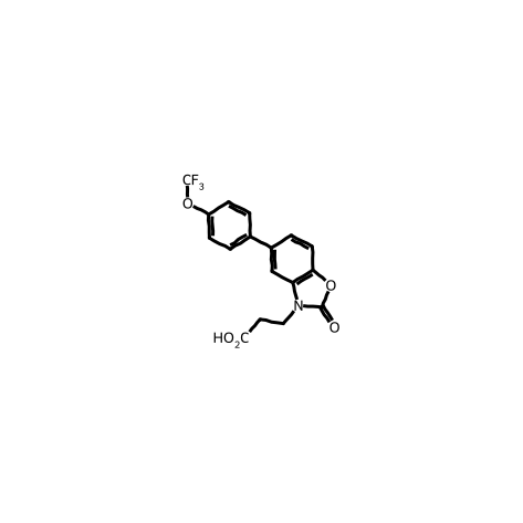 O=C(O)CCn1c(=O)oc2ccc(-c3ccc(OC(F)(F)F)cc3)cc21